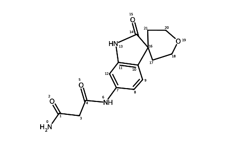 NC(=O)CC(=O)Nc1ccc2c(c1)NC(=O)C21CCOCC1